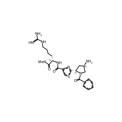 CNC(=O)[C@H](CCCCNC(=N)N)NC(=O)c1csc([C@@H]2C[C@@H](N)CN2C(=O)c2ccccc2)n1